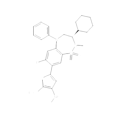 CCOC(=O)Nc1cc(-c2cc3c(cc2F)N(c2ccccc2)C[C@@H](C2CCCCC2)N(C)S3(=O)=O)sc1C(=O)O